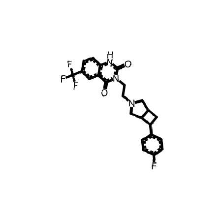 O=c1[nH]c2ccc(C(F)(F)F)cc2c(=O)n1CCN1CC2CC(c3ccc(F)cc3)C2C1